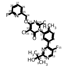 Cc1ccc(-c2nc(C(C)(C)O)ncc2F)cc1-n1c(C)nc(OCc2cccc(F)n2)c(Cl)c1=O